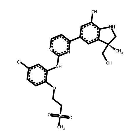 C[C@]1(CO)CNc2c(C#N)cc(-c3ccnc(Nc4cc(Cl)ccc4OCCS(C)(=O)=O)n3)cc21